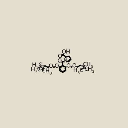 C[Si](C)(C)CCOCOc1cccc(OCOCC[Si](C)(C)C)c1C(=O)N1C=CCC1C(=O)O